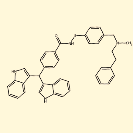 CN(CCc1ccccc1)Cc1ccc(SNC(=O)c2ccc(C(c3c[nH]c4ccccc34)c3c[nH]c4ccccc34)cc2)cc1